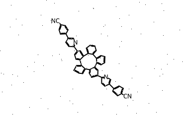 N#Cc1ccc(-c2ccc(-c3ccc4c5ccccc5c5ccc(-c6ccc(-c7ccc(C#N)cc7)cn6)cc5c5ccccc5c5ccccc5c4c3)nc2)cc1